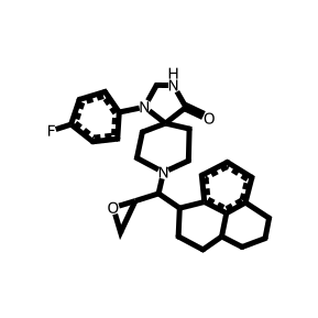 O=C1NCN(c2ccc(F)cc2)C12CCN(C(C1CO1)C1CCC3CCCc4cccc1c43)CC2